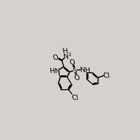 NC(=O)c1[nH]c2ccc(Cl)cc2c1S(=O)(=O)Nc1cccc(Cl)c1